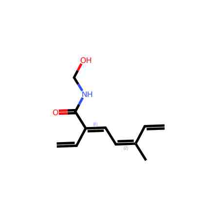 C=C/C(C)=C\C=C(/C=C)C(=O)NCO